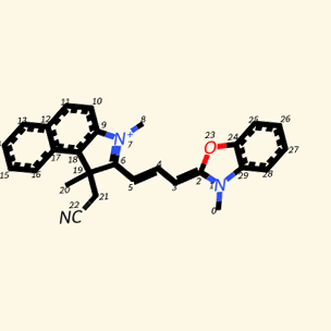 CN1/C(=C/C=C/C2=[N+](C)c3ccc4ccccc4c3C2(C)CC#N)Oc2ccccc21